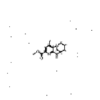 COC(=O)c1cc(C)c2c(n1)NC1CCCN2C1